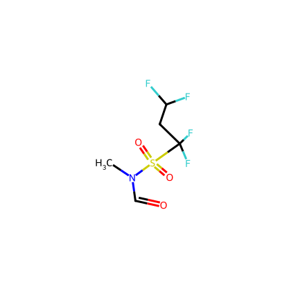 CN(C=O)S(=O)(=O)C(F)(F)CC(F)F